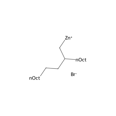 CCCCCCCCCCC([CH2][Zn+])CCCCCCCC.[Br-]